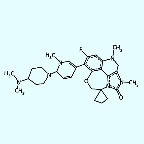 CN1Cc2c3n(c(=O)n2C)C2(CCC2)COc2c(C4=CN(C)C(N5CCC(N(C)C)CC5)C=C4)c(F)cc1c2-3